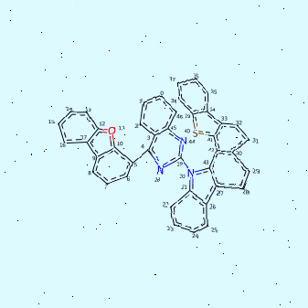 c1ccc2c(-c3cccc4c3oc3ccccc34)nc(-n3c4ccccc4c4ccc5ccc6c7ccccc7sc6c5c43)nc2c1